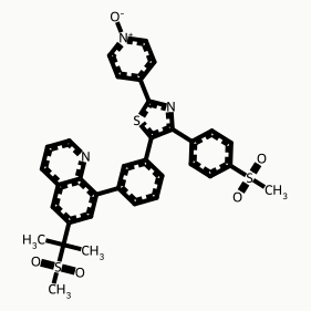 CC(C)(c1cc(-c2cccc(-c3sc(-c4cc[n+]([O-])cc4)nc3-c3ccc(S(C)(=O)=O)cc3)c2)c2ncccc2c1)S(C)(=O)=O